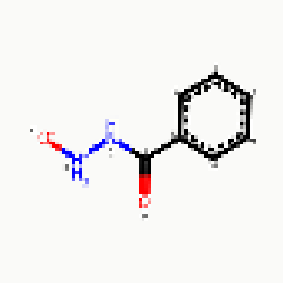 O=C(N[NH2+][O-])c1ccccc1